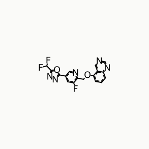 Fc1cc(-c2nnc(C(F)F)o2)cnc1COc1cccc2ncncc12